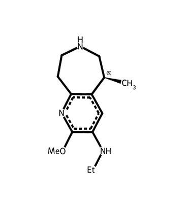 CCNc1cc2c(nc1OC)CCNC[C@H]2C